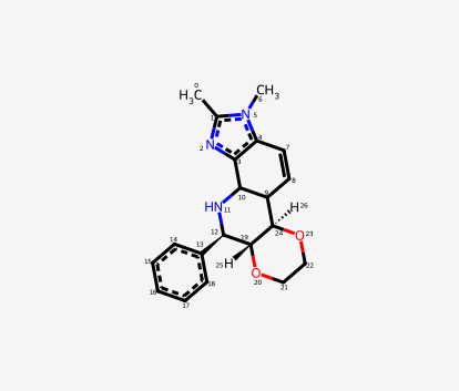 Cc1nc2c(n1C)C=CC1C2N[C@H](c2ccccc2)[C@H]2OCCO[C@H]12